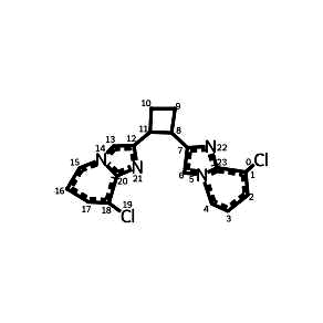 Clc1cccn2cc(C3CCC3c3cn4cccc(Cl)c4n3)nc12